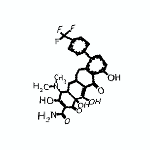 CN(C)C1C(O)=C(C(N)=O)C(=O)C2(O)C(O)=C3C(=O)c4c(O)ccc(-c5ccc(C(F)(F)F)cc5)c4CC3CC12